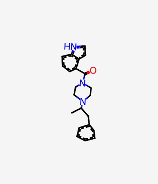 CC(Cc1ccccc1)N1CCN(C(=O)c2cccc3[nH]ccc23)CC1